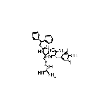 N=C(N)NCCC[C@@H](NC(=O)CC(c1ccccc1)c1ccccc1)C(=O)N[C@@H](Cc1cc(I)c(O)c(I)c1)C(N)=O